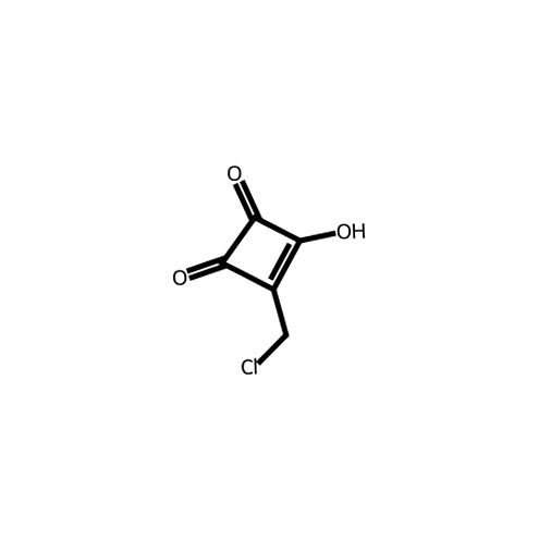 O=c1c(O)c(CCl)c1=O